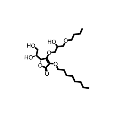 CCCCCCCCOC1=C(OCC(O)COCCCC)[C@@H]([C@@H](O)CO)OC1=O